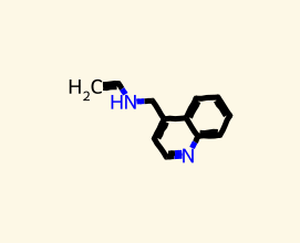 C=CNCc1ccnc2ccccc12